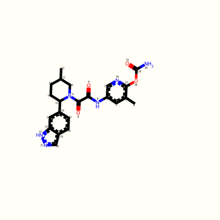 Cc1cc(NC(=O)C(=O)N2CC(C)CCC2c2ccc3cn[nH]c3c2)cnc1OC(N)=O